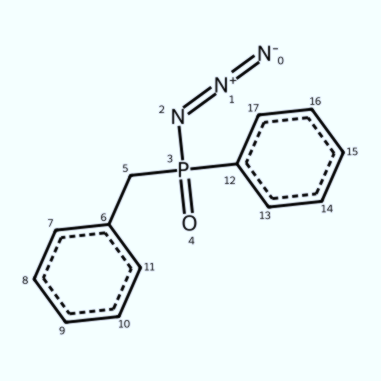 [N-]=[N+]=NP(=O)(Cc1ccccc1)c1ccccc1